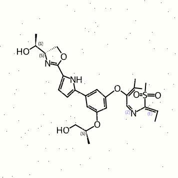 C/C=C(\N=C/C(Oc1cc(O[C@@H](C)CO)cc(-c2ccc(C3=N[C@H]([C@H](C)O)CO3)[nH]2)c1)=C(C)C)S(C)(=O)=O